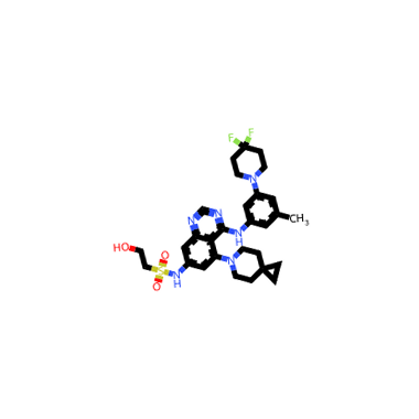 Cc1cc(Nc2ncnc3cc(NS(=O)(=O)CCO)cc(N4CCC5(CC4)CC5)c23)cc(N2CCC(F)(F)CC2)c1